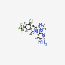 C=C(N[C@@H](C)c1nccn1-c1ccc(N)cn1)c1cc(Cl)cc(C(F)(F)F)c1